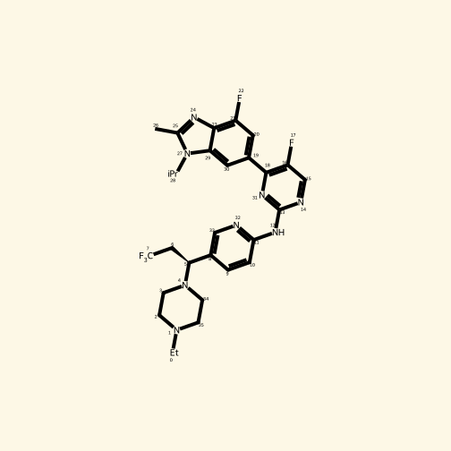 CCN1CCN([C@@H](CC(F)(F)F)c2ccc(Nc3ncc(F)c(-c4cc(F)c5nc(C)n(C(C)C)c5c4)n3)nc2)CC1